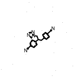 N#Cc1ccc(CC(Cn2cncn2)c2ccc(C#N)cc2)cc1